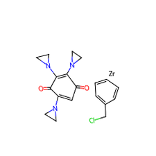 ClCc1ccccc1.O=C1C=C(N2CC2)C(=O)C(N2CC2)=C1N1CC1.[Zr]